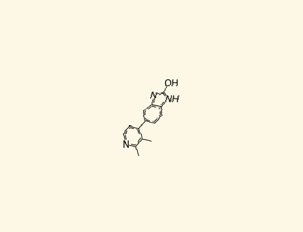 Cc1nccc(-c2ccc3[nH]c(O)nc3c2)c1C